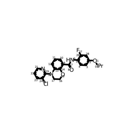 CC(C)Oc1ccc(NC(=O)c2cccc3c2OCCN3c2ncccc2Cl)c(F)c1